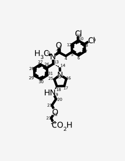 CN(C(=O)Cc1ccc(Cl)c(Cl)c1)[C@H](CN1CC[C@H](NCCOCC(=O)O)C1)c1ccccc1